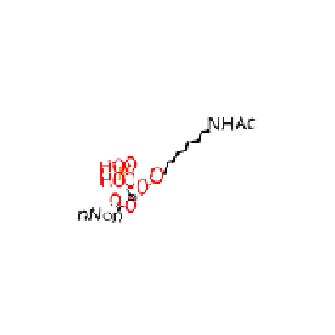 CCCCCCCCCC(=O)O[C@@H](COCOCCCCCCCCCNC(C)=O)COP(=O)(O)O